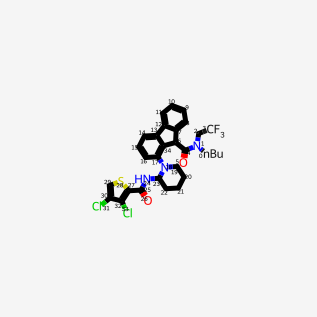 CCCCN(CC(F)(F)F)C(=O)C1c2ccccc2-c2cccc(N3CCCCC3NC(=O)c3scc(Cl)c3Cl)c21